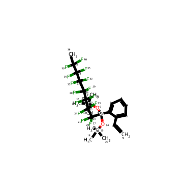 C=Cc1ccccc1[Si](O[Si](C)(C)C)(O[Si](C)(C)C)C(F)(F)C(F)(F)C(F)(F)C(F)(F)C(F)(F)C(F)(F)C(C)(F)F